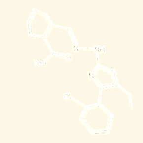 CCc1sc(NN=Cc2ccccc2C(=O)O)nc1-c1ccccc1Cl